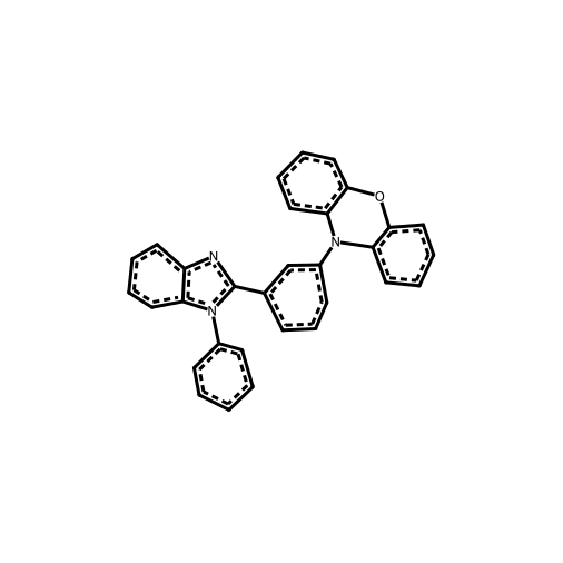 c1ccc(-n2c(-c3cccc(N4c5ccccc5Oc5ccccc54)c3)nc3ccccc32)cc1